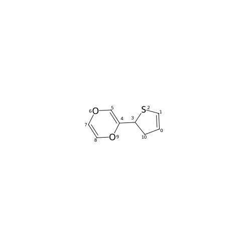 C1=CSC(C2=COC=CO2)C1